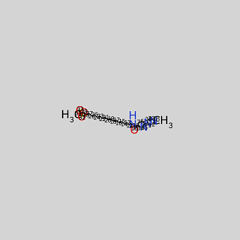 CN1CCN(c2ccc(C(=O)NCCCCCCCCCCCCCCCCCOS(C)(=O)=O)cn2)CC1